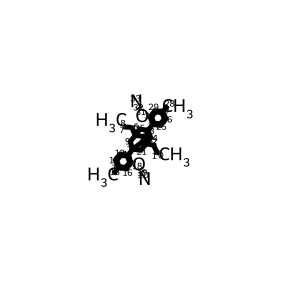 CCCC12CC3(CCC)CC(c4ccc(C)cc4OC#N)(C1)CC(c1ccc(C)cc1OC#N)(C2)C3